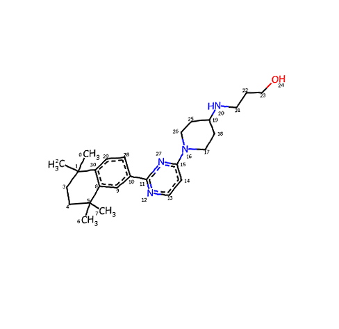 CC1(C)CCC(C)(C)c2cc(-c3nccc(N4CCC(NCCCO)CC4)n3)ccc21